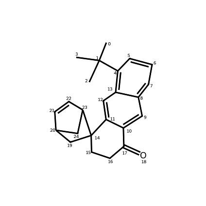 CC(C)(C)c1cccc2cc3c(cc12)C1(CCC3=O)CC2C=CC1C2